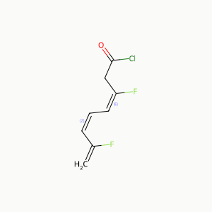 C=C(F)/C=C\C=C(\F)CC(=O)Cl